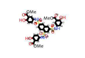 COC(=O)c1cc(NS(=O)(=O)c2ccc3c(S(=O)(=O)Nc4ccc(O)c(C(=O)OC)c4)cc(S(=O)(=O)Nc4ccc(O)c(C(=O)OC)c4)cc3c2)ccc1O